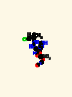 CC1(C)CCC(CNCCNc2ccc(C(=O)NS(=O)(=O)c3ccc(OC4CCN(C5COC5)C4)c([N+](=O)[O-])c3)c(-n3ncc4nc5[nH]ccc5cc43)c2)=C(c2ccc(Cl)cc2)C1